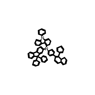 C1=CCC2C(=C1)C=CC(c1ccc(N(C3=c4c(n(-c5ccccc5)c5ccccc45)=CCC3)c3ccc4c(c3)C(c3ccccc3)(c3ccccc3)c3ccccc3-4)cc1)=C2c1ccccc1